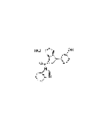 Cl.O=C(N1CC(c2cccc(O)c2)c2ccccc21)n1cnc2c1CCCC2